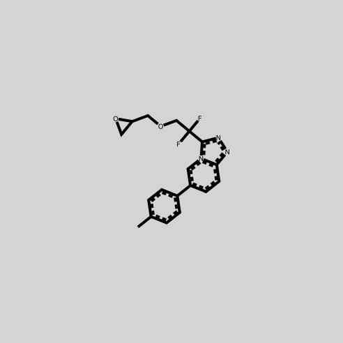 Cc1ccc(-c2ccc3nnc(C(F)(F)COCC4CO4)n3c2)cc1